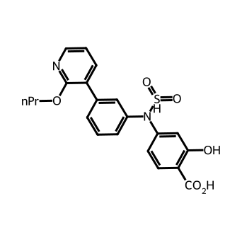 CCCOc1ncccc1-c1cccc(N(c2ccc(C(=O)O)c(O)c2)[SH](=O)=O)c1